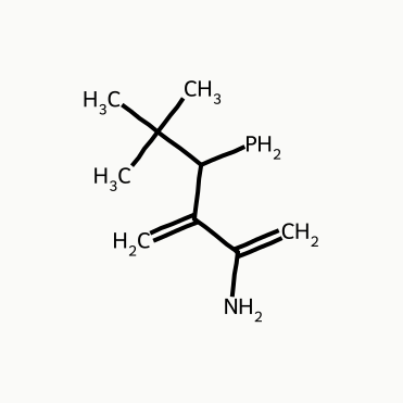 C=C(N)C(=C)C(P)C(C)(C)C